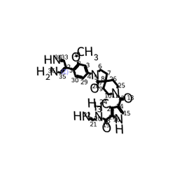 COc1cc(N2CCC3(CCN(C(=O)c4c[nH]c(C(=O)NC=N)c4C)CC3)C2=O)ccc1/C(C=N)=C/N